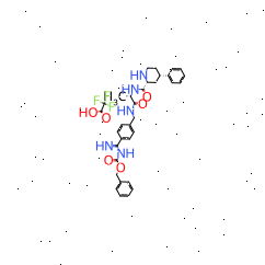 C[C@H](NC(=O)[C@H]1C[C@@H](c2ccccc2)CCN1)C(=O)NCc1ccc(C(=N)NC(=O)OCc2ccccc2)cc1.O=C(O)C(F)(F)F